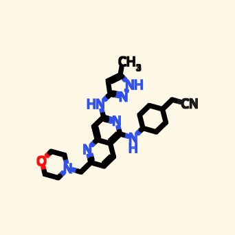 Cc1cc(Nc2cc3nc(CN4CCOCC4)ccc3c(NC3CCC(CC#N)CC3)n2)n[nH]1